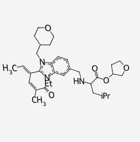 C/C=C(\C=C(\C)C(=O)CC)c1nc2cc(CNC(CC(C)C)C(=O)OC3CCOC3)ccc2n1CC1CCOCC1